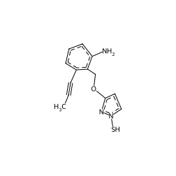 CC#Cc1cccc(N)c1COc1ccn(S)n1